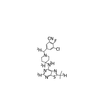 [2H]c1nc(N([2H])C2([2H])CCN(C([2H])c3cc(Cl)c(F)c(C#N)c3)CC2)c2nc(C([2H])(C)C)sc2n1